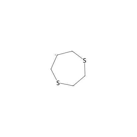 [CH]1CSCCSC1